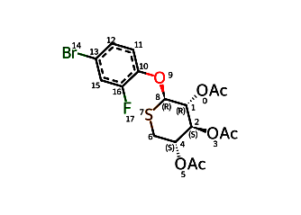 CC(=O)O[C@@H]1[C@@H](OC(C)=O)[C@H](OC(C)=O)CS[C@H]1Oc1ccc(Br)cc1F